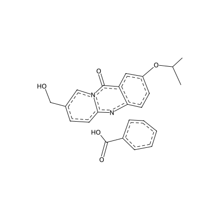 CC(C)Oc1ccc2nc3ccc(CO)cn3c(=O)c2c1.O=C(O)c1ccccc1